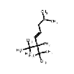 CN(C)C/C=C/C(P)(C(C)(C)C)C(C)(C)C